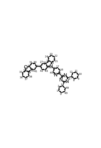 c1ccc(-c2nc(-c3ccccc3)nc(-c3ccc(-n4c5ccccc5c5cc(-c6ccc7oc8ccccc8c7c6)ccc54)cn3)n2)cc1